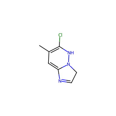 CC1=C(Cl)NN2CC=NC2=C1